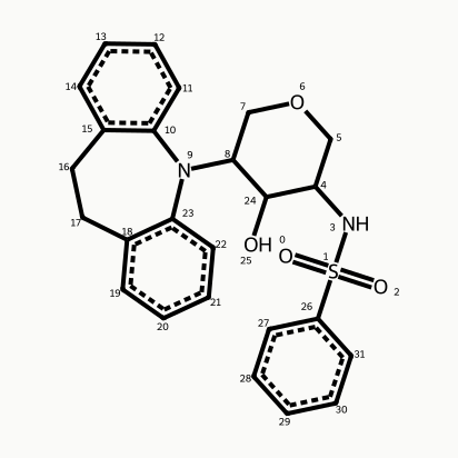 O=S(=O)(NC1COCC(N2c3ccccc3CCc3ccccc32)C1O)c1ccccc1